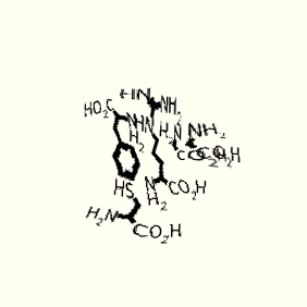 N=C(N)NCCCC(N)C(=O)O.NC(CS)C(=O)O.NC(Cc1ccccc1)C(=O)O.NCC(=O)O.NCC(=O)O